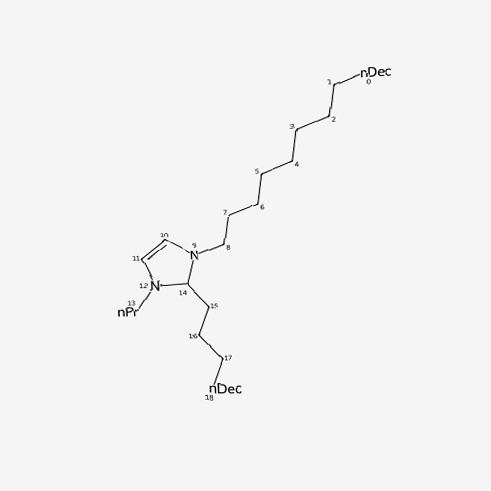 CCCCCCCCCCCCCCCCCCN1C=CN(CCC)C1CCCCCCCCCCCCC